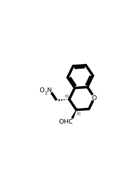 O=C[C@@H]1COc2ccccc2[C@H]1C[N+](=O)[O-]